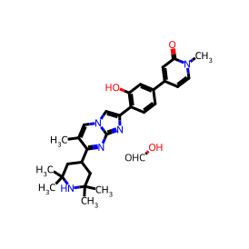 Cc1cn2cc(-c3ccc(-c4ccn(C)c(=O)c4)cc3O)nc2nc1C1CC(C)(C)NC(C)(C)C1.O=CO